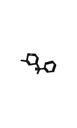 Cc1cccc([SiH](C)c2ccccc2)c1